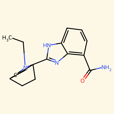 CCN1CC2CCC1(c1nc3c(C(N)=O)cccc3[nH]1)CC2